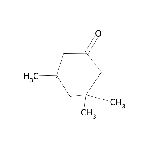 C[C]1CC(=O)CC(C)(C)C1